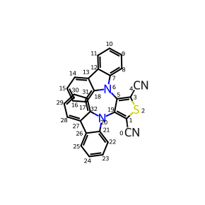 N#Cc1sc(C#N)c(-n2c3ccccc3c3ccccc32)c1-n1c2ccccc2c2ccccc21